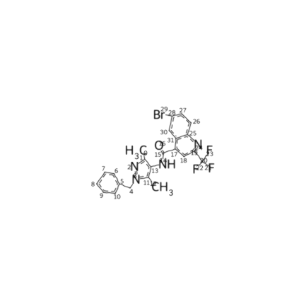 Cc1nn(Cc2ccccc2)c(C)c1NC(=O)c1cc(C(F)(F)F)nc2ccc(Br)cc12